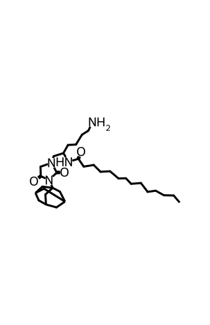 CCCCCCCCCCCCCC(=O)NC(CCCCN)CN1CC(=O)N(C23CC4CC(CC(C4)C2)C3)C1=O